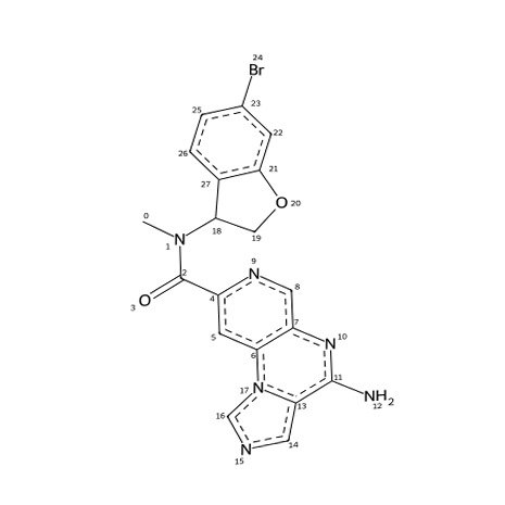 CN(C(=O)c1cc2c(cn1)nc(N)c1cncn12)C1COc2cc(Br)ccc21